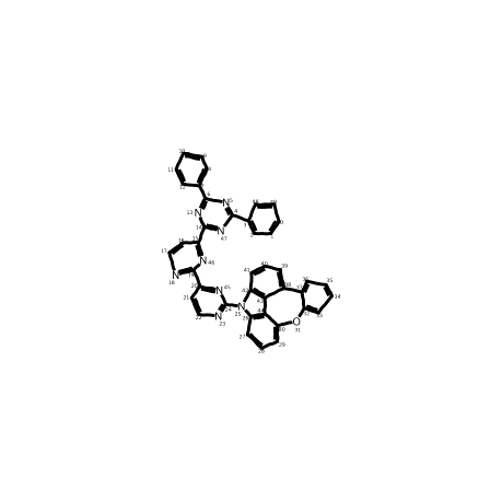 c1ccc(-c2nc(-c3ccccc3)nc(-c3ccnc(-c4ccnc(-n5c6cccc7oc8ccccc8c8cccc5c8c76)n4)n3)n2)cc1